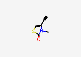 C#Cc1csc(=O)n1C